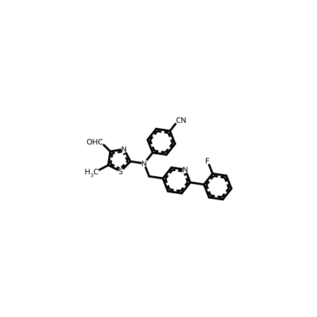 Cc1sc(N(Cc2ccc(-c3ccccc3F)nc2)c2ccc(C#N)cc2)nc1C=O